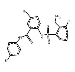 NCc1c(Cl)cccc1S(=O)(=O)Nc1ccc(Br)cc1C(=O)Nc1ccc(Br)cc1